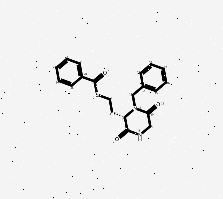 O=C(SCC[C@H]1C(=O)NCC(=O)N1Cc1ccccc1)c1ccccc1